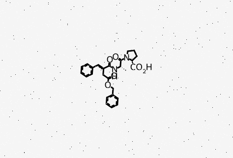 C[C@H](NC(=O)/C(=C/c1ccccc1)CC(=O)OCc1ccccc1)C(=O)N1CCC[C@H]1C(=O)O